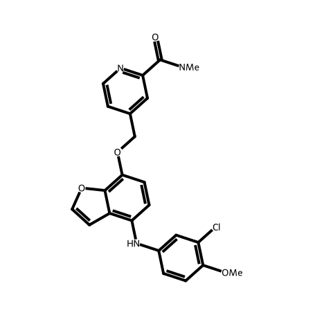 CNC(=O)c1cc(COc2ccc(Nc3ccc(OC)c(Cl)c3)c3ccoc23)ccn1